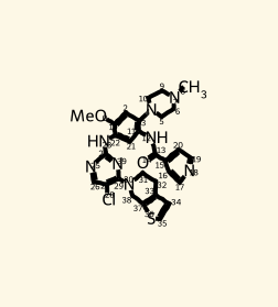 COc1cc(N2CCN(C)CC2)c(NC(=O)c2ccncc2)cc1Nc1ncc(Cl)c(N2CCc3ccsc3C2)n1